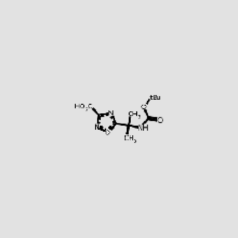 CC(C)(C)OC(=O)NC(C)(C)c1nc(C(=O)O)no1